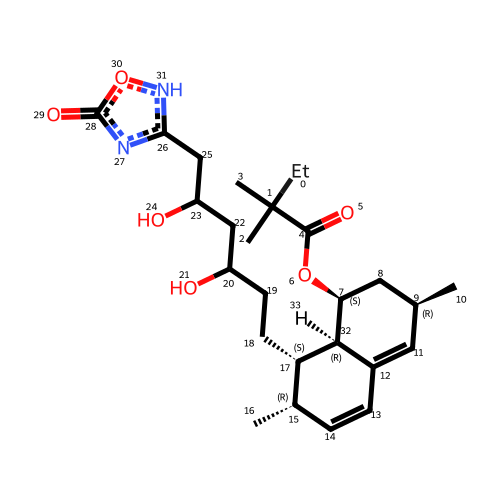 CCC(C)(C)C(=O)O[C@H]1C[C@@H](C)C=C2C=C[C@H](C)[C@H](CCC(O)CC(O)Cc3nc(=O)o[nH]3)[C@H]21